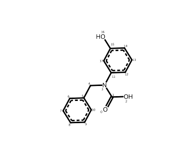 O=C(O)N(Cc1ccccc1)c1cccc(O)c1